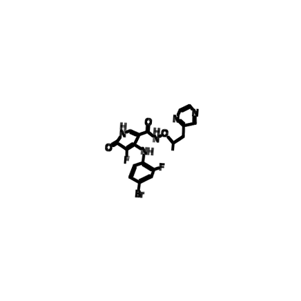 CC(Cc1cnccn1)ONC(=O)c1c[nH]c(=O)c(F)c1Nc1ccc(Br)cc1F